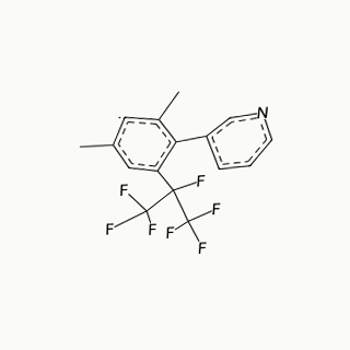 Cc1[c]c(C)c(-c2cccnc2)c(C(F)(C(F)(F)F)C(F)(F)F)c1